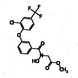 COC(=O)CN(O)C(=O)c1cccc(Oc2ccc(C(F)(F)F)cc2Cl)c1